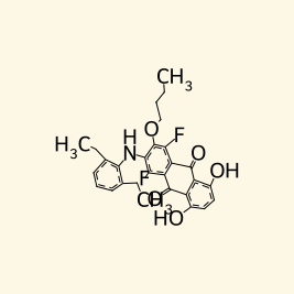 CCCCOc1c(F)c2c(c(F)c1Nc1c(CC)cccc1CC)C(=O)c1c(O)ccc(O)c1C2=O